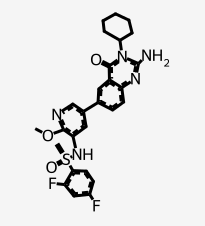 C=S(=O)(Nc1cc(-c2ccc3nc(N)n(C4CCCCC4)c(=O)c3c2)cnc1OC)c1ccc(F)cc1F